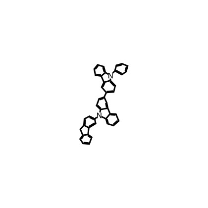 c1ccc(-n2c3ccccc3c3cc(-c4ccc5c(c4)c4ccccc4n5-c4ccc5c(c4)-c4ccccc4C5)ccc32)cc1